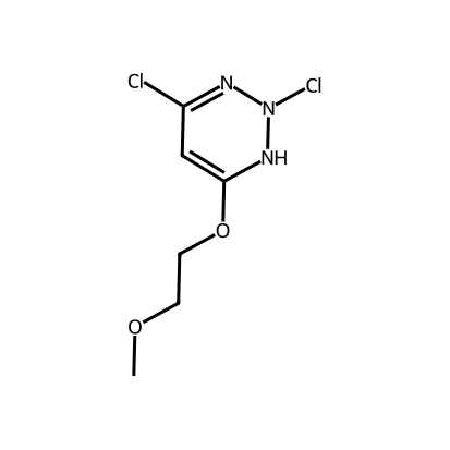 COCCOC1=CC(Cl)=NN(Cl)N1